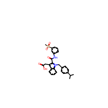 CC(C)c1ccc(Cn2c(C(=O)Nc3cccc(S(C)(=O)=O)c3)c(CC(=O)O)c3ccccc32)cc1